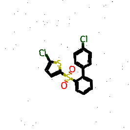 O=S(=O)(c1ccc(Cl)s1)c1ccccc1-c1ccc(Cl)cc1